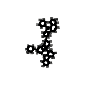 c1ccc(-c2ccc3c(c2)c2cc(-c4ccc5c(c4)c4ccc6ccccc6c4n5-c4ccccc4)ccc2n3-c2cccc3c2sc2ccccc23)cc1